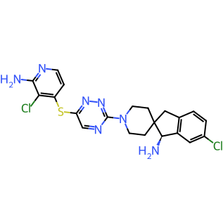 Nc1nccc(Sc2cnc(N3CCC4(CC3)Cc3ccc(Cl)cc3[C@H]4N)nn2)c1Cl